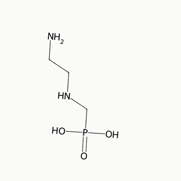 NCCNCP(=O)(O)O